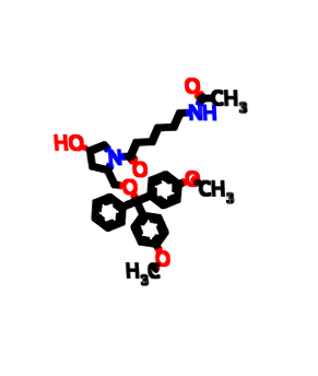 COc1ccc(C(OCC2C[C@@H](O)CN2C(=O)CCCCCNC(C)=O)(c2ccccc2)c2ccc(OC)cc2)cc1